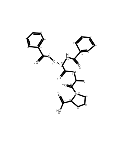 CC(NC(=O)[C@H](CSC(=O)c1ccccc1)NC(=O)c1ccccc1)C(=O)N1CCCC1C(=O)O